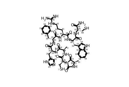 C[C@@H](NC(=O)[C@H](CS)N1C(=O)N[C@H](C)C1=O)C(=O)N[C@@H](Cc1cnc[nH]1)C(=O)N[C@H](Cc1ccccc1)C(=O)N[C@@H](CCCNC(=N)N)C(=O)N[C@@H](Cc1c[nH]c2ccccc12)C(=O)N[C@@H](CS)C(N)=O